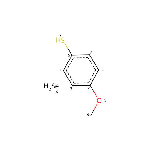 COc1ccc(S)cc1.[SeH2]